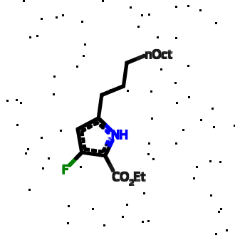 CCCCCCCCCCCc1cc(F)c(C(=O)OCC)[nH]1